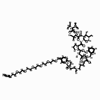 CC[C@H](C)[C@@H]([C@@H](CC(=O)N1CCC[C@H]1[C@H](OC)[C@@H](C)C(=O)N[C@@H](Cc1ccccc1)C(=O)NCCC[S+](C)CC[S+](C)(=O)CSc1ncc(COCCOCCOCCOCCOCCOCCN=[N+]=[N-])cn1)OC)N(C)C(=O)[C@@H](NC(=O)[C@H](C(C)C)N(C)C)C(C)C